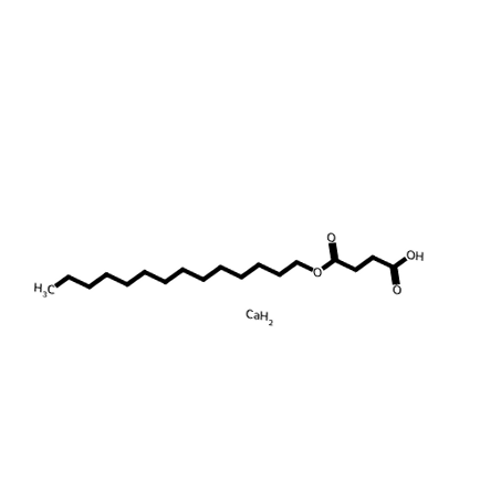 CCCCCCCCCCCCCCOC(=O)CCC(=O)O.[CaH2]